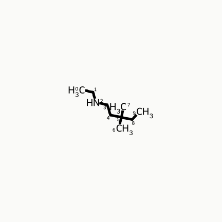 CCNCCC(C)(C)CC